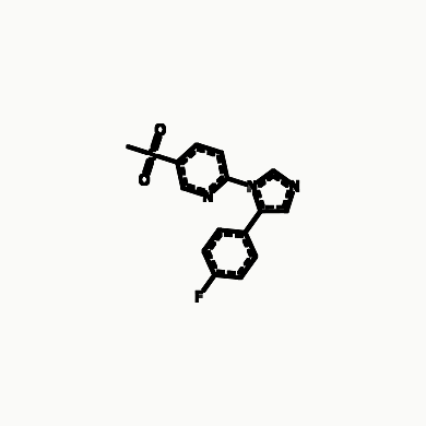 CS(=O)(=O)c1ccc(-n2cncc2-c2ccc(F)cc2)nc1